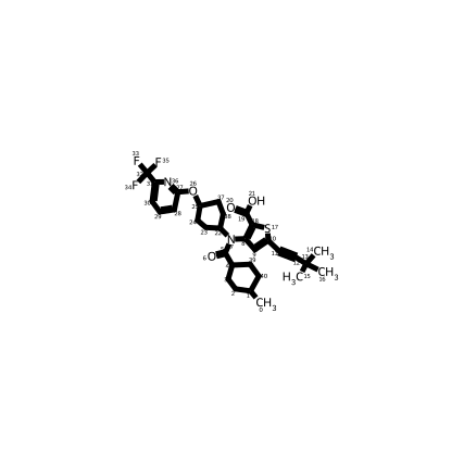 CC1CCC(C(=O)N(c2cc(C#CC(C)(C)C)sc2C(=O)O)C2CCC(Oc3cccc(C(F)(F)F)n3)CC2)CC1